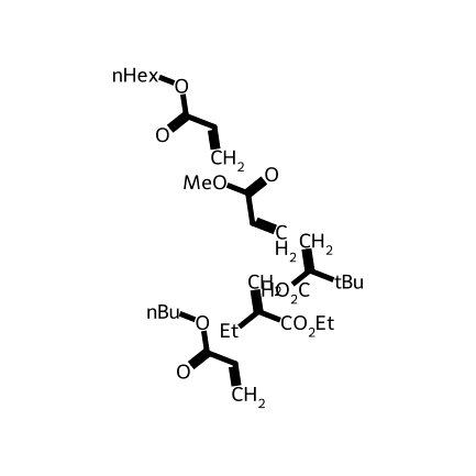 C=C(C(=O)O)C(C)(C)C.C=C(CC)C(=O)OCC.C=CC(=O)OC.C=CC(=O)OCCCC.C=CC(=O)OCCCCCC